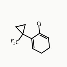 FC(F)(F)C1(C2=CC[CH]C=C2Cl)CC1